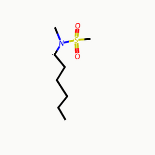 CCCCC[CH]N(C)S(C)(=O)=O